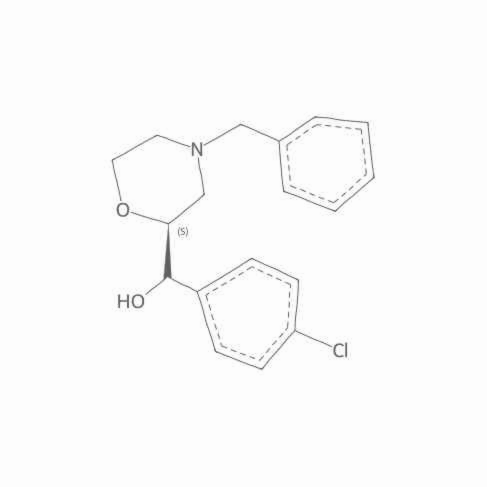 OC(c1ccc(Cl)cc1)[C@@H]1CN(Cc2ccccc2)CCO1